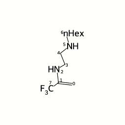 C=C(NCCNCCCCCC)C(F)(F)F